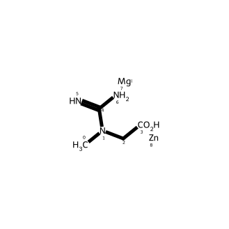 CN(CC(=O)O)C(=N)N.[Mg].[Zn]